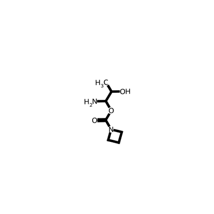 CC(O)C(N)OC(=O)N1CCC1